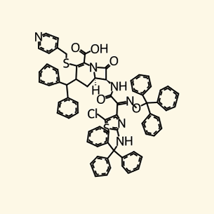 O=C(O)C1=C(SCc2ccncc2)C(C(c2ccccc2)c2ccccc2)C[C@@H]2[C@H](NC(=O)C(=NOC(c3ccccc3)(c3ccccc3)c3ccccc3)c3nc(NC(c4ccccc4)(c4ccccc4)c4ccccc4)sc3Cl)C(=O)N12